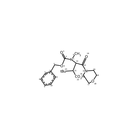 CN(C(=O)OCc1ccccc1)C(C(=O)N1CCOCC1)C(C(=O)O)C(C)(C)C